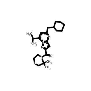 CC(C)c1cc(CC2CCCCC2)nc2cc(C(=O)N3CCSCC3(C)C)nn12